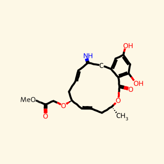 COC(=O)CO[C@@H]1/C=C/C[C@@H](C)OC(=O)c2c(O)cc(O)cc2CC(=N)/C=C/C1